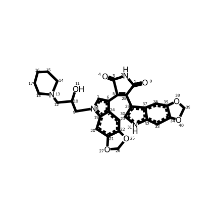 O=C1NC(=O)C(c2cn(CC(O)CN3CCCCC3)c3cc4c(cc23)OCO4)=C1c1c[nH]c2cc3c(cc12)OCO3